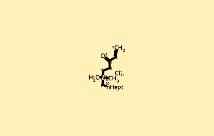 C=CC(=O)CC[N+](C)(C)CCCCCCCC.[Cl-]